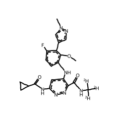 [2H]C([2H])([2H])NC(=O)c1nnc(NC(=O)C2CC2)cc1Nc1ccc(F)c(-c2cnn(C)c2)c1OC